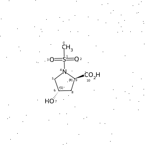 CS(=O)(=O)N1C[C@@H](O)C[C@@H]1C(=O)O